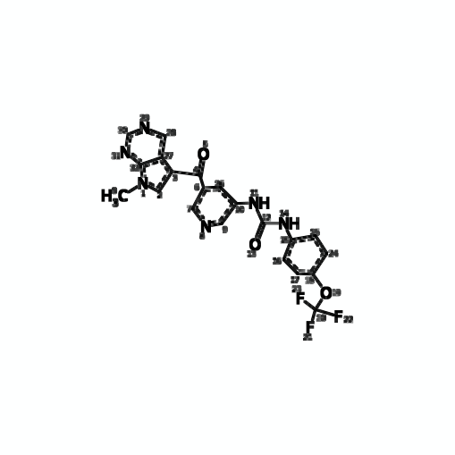 Cn1cc(C(=O)c2cncc(NC(=O)Nc3ccc(OC(F)(F)F)cc3)c2)c2cncnc21